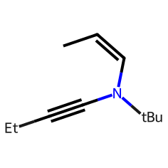 C/C=C\N(C#CCC)C(C)(C)C